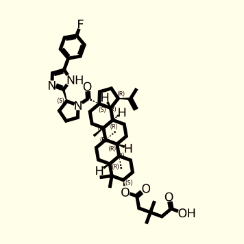 C=C(C)[C@@H]1CC[C@]2(C(=O)N3CCC[C@H]3c3ncc(-c4ccc(F)cc4)[nH]3)CC[C@]3(C)[C@H](CC[C@@H]4[C@@]5(C)CC[C@H](OC(=O)CC(C)(C)CC(=O)O)C(C)(C)[C@@H]5CC[C@]43C)[C@@H]12